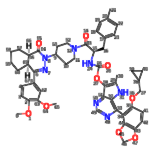 COc1ccc(C2=NN(C3CCN(C(=O)[C@@H](Cc4ccc(C)cc4)NC(=O)Oc4c(C)[nH]c5c(-c6c(OCC7CC7)ccc7c6OCO7)ncnc45)CC3)C(=O)[C@@H]3CCCC[C@H]23)cc1OC